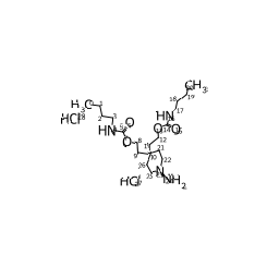 CCCCNC(=O)OCCC1(CCOC(=O)NCCCC)CCN(N)CC1.Cl.Cl